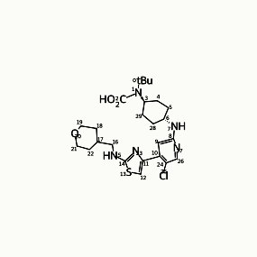 CC(C)(C)N(C(=O)O)[C@H]1CC[C@H](Nc2cc(-c3csc(NCC4CCOCC4)n3)c(Cl)cn2)CC1